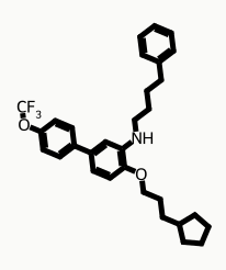 FC(F)(F)Oc1ccc(-c2ccc(OCCCC3CCCC3)c(NCCCCc3ccccc3)c2)cc1